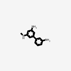 CNc1cc(N)cc(-c2cccc(N)c2)c1